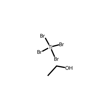 CCO.[Br][Ti]([Br])([Br])[Br]